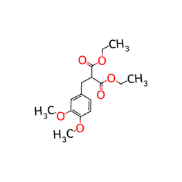 CCOC(=O)C(Cc1ccc(OC)c(OC)c1)C(=O)OCC